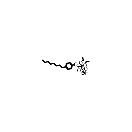 CCCCCCCCc1ccc(OCC(OCC)(OCC)S(=O)(=O)O)cc1